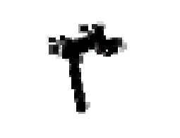 CC[C@@]1(O)C(=O)OCc2c1cc1n(c2=O)Cc2c-1nc1cc(F)c(C)c3c1c2[C@@H](NC(=O)Oc1ccc(NC(=O)[C@H](CCCCN)NC(=O)[C@@H](NC(=O)CCOCCOCCOCCOCCOCCOCCN=[N+]=[N-])C(C)C)cc1)CC3